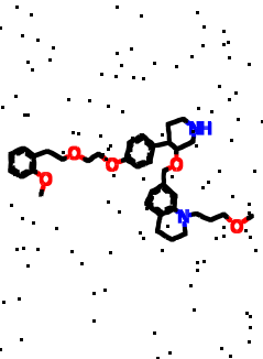 COCCCN1CCCc2ccc(COC3CNCCC3c3ccc(OCCOCCc4ccccc4OC)cc3)cc21